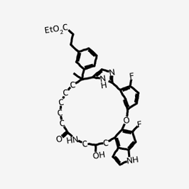 CCOC(=O)CCc1cccc(C2(C)CCCCCC(=O)NCC(O)Cc3c(c(F)cc4[nH]ccc34)Oc3ccc(F)c(c3)-c3ncc2[nH]3)c1